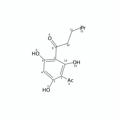 CC(=O)c1c(O)cc(O)c(C(=O)CCC(C)C)c1O